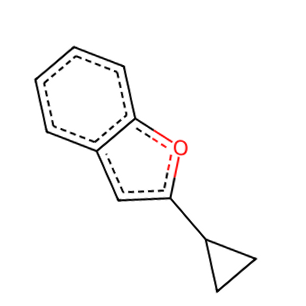 c1ccc2oc(C3CC3)cc2c1